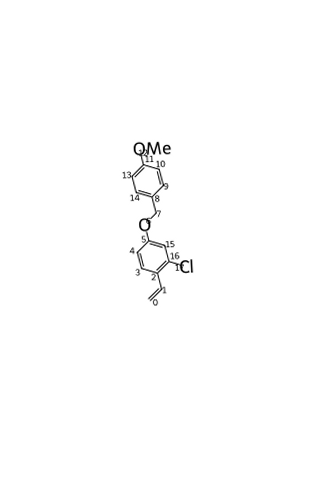 C=Cc1ccc(OCc2ccc(OC)cc2)cc1Cl